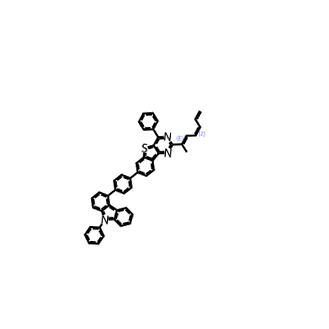 C=C/C=C\C=C(/C)c1nc(-c2ccccc2)c2sc3cc(-c4ccc(-c5cccc6c5c5ccccc5n6-c5ccccc5)cc4)ccc3c2n1